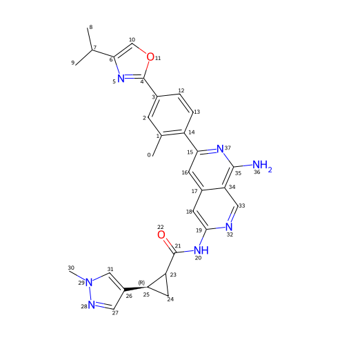 Cc1cc(-c2nc(C(C)C)co2)ccc1-c1cc2cc(NC(=O)C3C[C@H]3c3cnn(C)c3)ncc2c(N)n1